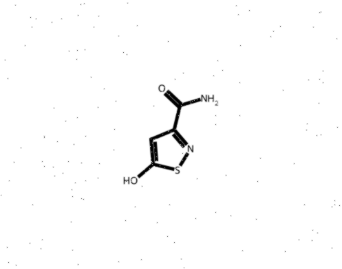 NC(=O)c1cc(O)sn1